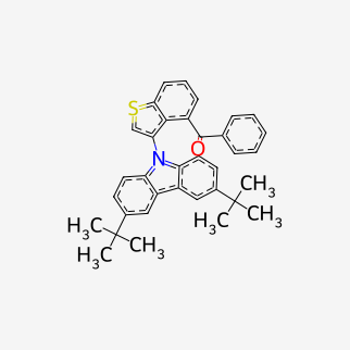 CC(C)(C)c1ccc2c(c1)c1cc(C(C)(C)C)ccc1n2-c1csc2cccc(C(=O)c3ccccc3)c12